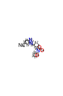 CC1(CN2C[C@@]3(CCC[C@H](Cn4cnc5ccc(C#N)cc54)C3)OC2=O)CCCO1